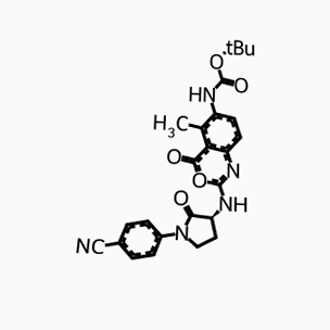 Cc1c(NC(=O)OC(C)(C)C)ccc2nc(N[C@H]3CCN(c4ccc(C#N)cc4)C3=O)oc(=O)c12